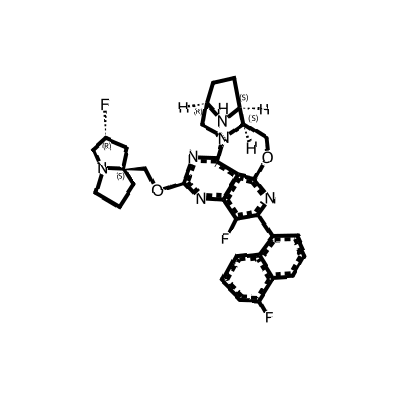 Fc1cccc2c(-c3nc4c5c(nc(OC[C@@]67CCCN6C[C@H](F)C7)nc5c3F)N3C[C@H]5CC[C@H](N5)[C@H]3CO4)cccc12